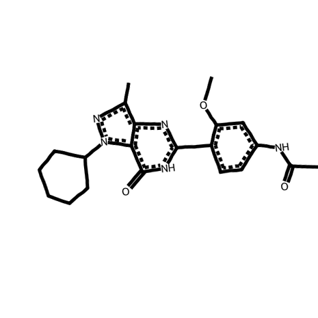 COc1cc(NC(C)=O)ccc1-c1nc2c(C)nn(C3CCCCC3)c2c(=O)[nH]1